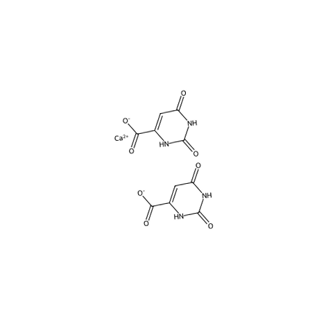 O=C([O-])c1cc(=O)[nH]c(=O)[nH]1.O=C([O-])c1cc(=O)[nH]c(=O)[nH]1.[Ca+2]